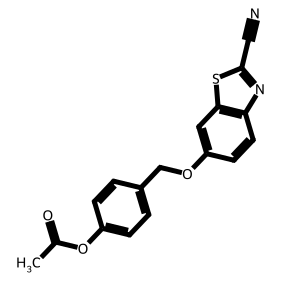 CC(=O)Oc1ccc(COc2ccc3nc(C#N)sc3c2)cc1